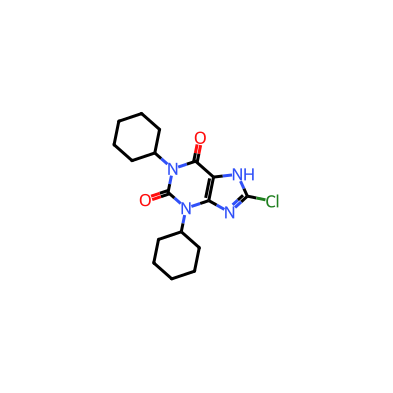 O=c1c2[nH]c(Cl)nc2n(C2CCCCC2)c(=O)n1C1CCCCC1